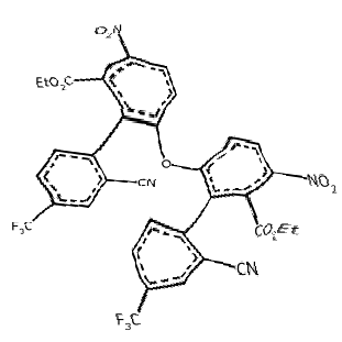 CCOC(=O)c1c([N+](=O)[O-])ccc(Oc2ccc([N+](=O)[O-])c(C(=O)OCC)c2-c2ccc(C(F)(F)F)cc2C#N)c1-c1ccc(C(F)(F)F)cc1C#N